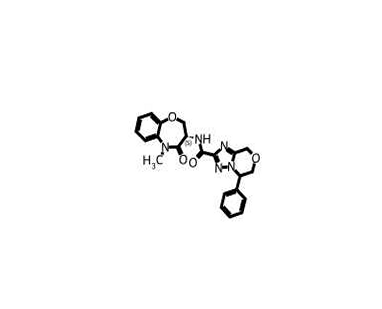 CN1C(=O)[C@@H](NC(=O)c2nc3n(n2)C(c2ccccc2)COC3)COc2ccccc21